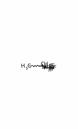 CCCCCCCCCCC(C)[n+]1ccn(CCC(F)(F)C(F)(F)C(F)(F)F)c1